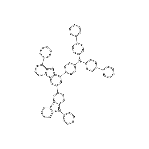 c1ccc(-c2ccc(N(c3ccc(-c4ccccc4)cc3)c3ccc(-c4cc(-c5ccc6c(c5)c5ccccc5n6-c5ccccc5)cc5c4sc4c(-c6ccccc6)cccc45)cc3)cc2)cc1